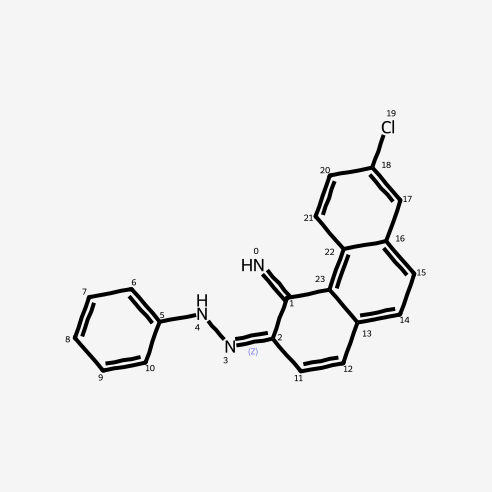 N=C1/C(=N\Nc2ccccc2)C=Cc2ccc3cc(Cl)ccc3c21